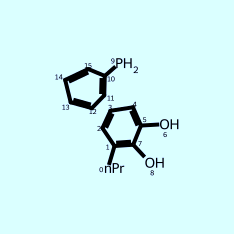 CCCc1cccc(O)c1O.Pc1ccccc1